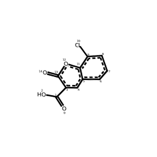 O=C(O)c1cc2cccc(Cl)c2oc1=O